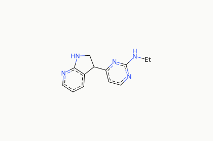 CCNc1nccc(C2CNc3ncccc32)n1